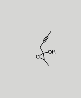 CC#CCC1(O)OC1C